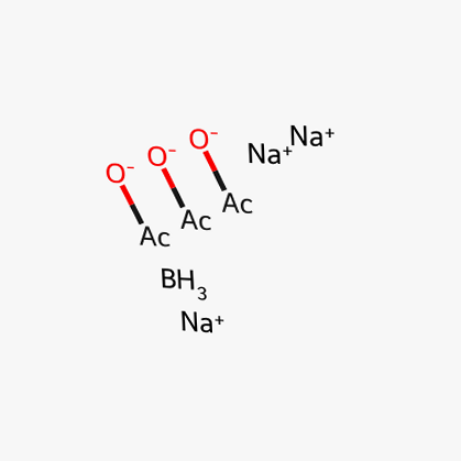 B.CC(=O)[O-].CC(=O)[O-].CC(=O)[O-].[Na+].[Na+].[Na+]